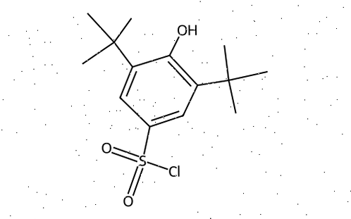 CC(C)(C)c1cc(S(=O)(=O)Cl)cc(C(C)(C)C)c1O